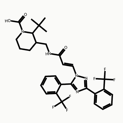 CC(C)(C)C1C(CNC(=O)C=Cn2nc(-c3ccccc3C(F)(F)F)nc2-c2ccccc2C(F)(F)F)CCCN1C(=O)O